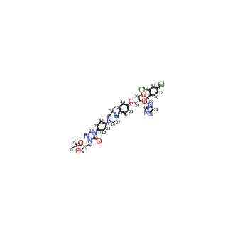 CC1(C)OCC(Cn2ncn(-c3ccc(N4CCN(c5ccc(OC[C@@H]6CO[C@@](Cn7ccnc7)(c7ccc(Cl)cc7Cl)O6)cc5)CC4)cc3)c2=O)O1